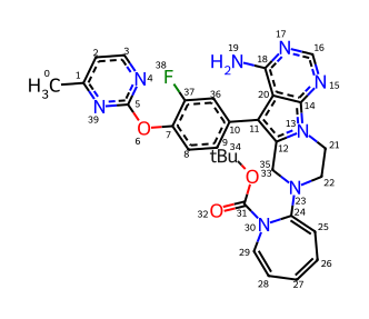 Cc1ccnc(Oc2ccc(-c3c4n(c5ncnc(N)c35)CCN(C3=CC=CC=CN3C(=O)OC(C)(C)C)C4)cc2F)n1